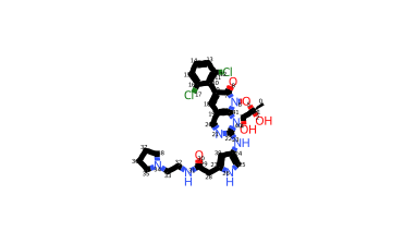 C[C@@](O)(CO)On1c(=O)c(-c2c(Cl)cccc2Cl)cc2cnc(Nc3c[nH]c(CC(=O)NCCN4CCCC4)c3)nc21